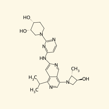 CC(C)c1ncc(N2C[C@H](O)[C@H]2C)c2cnc(Nc3ccnc(N4CC[C@@H](O)[C@@H](O)C4)n3)cc12